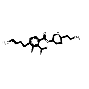 C/C=C/CCc1ccc(C(=O)OC2CCC(CCC)OC2)c(C(F)F)c1F